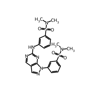 CN(C)S(=O)(=O)c1cccc(Nc2ncc3cnn(-c4cccc(S(=O)(=O)N(C)C)c4)c3n2)c1